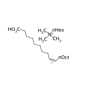 CCCCCCCC/C=C\CCCCCCCC(=O)O.CCCCCC[N+](C)(C)C